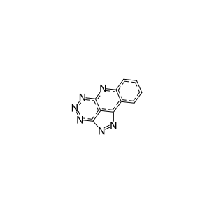 c1ccc2c3c4c(nnnc4nc2c1)N=N3